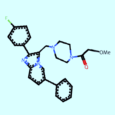 COCC(=O)N1CCN(Cc2c(-c3ccc(F)cc3)nc3ccc(-c4ccccc4)cn23)CC1